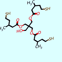 CC(CCS)CC(=O)OCC(CO)(COC(=O)CC(C)CCS)COC(=O)CC(C)CCS